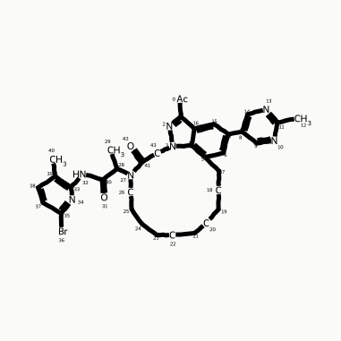 CC(=O)c1nn2c3c(cc(-c4cnc(C)nc4)cc13)CCCCCCCCCCN(C(C)C(=O)Nc1nc(Br)ccc1C)C(=O)C2